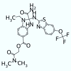 CCN1c2ccc(C(=O)OCC(=O)N(C)C)cc2NC1(Nc1nc2ccc(OC(F)(F)F)cc2s1)C(N)=O